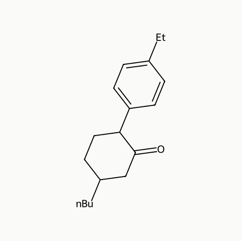 CCCCC1CCC(c2ccc(CC)cc2)C(=O)C1